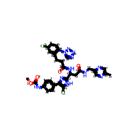 COC(=O)Nc1ccc(-c2nc(C(CC(=O)NCc3cnc(C)cn3)NC(=O)CCc3cc(Cl)ccc3-n3cnnn3)[nH]c2Cl)cc1